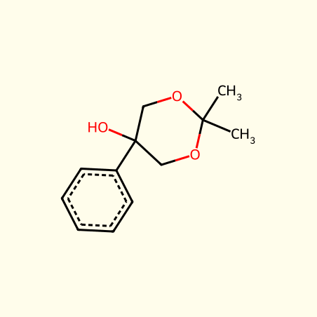 CC1(C)OCC(O)(c2ccccc2)CO1